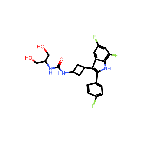 O=C(NC(CO)CO)NC1CC(c2c(-c3ccc(F)cc3)[nH]c3c(F)cc(F)cc23)C1